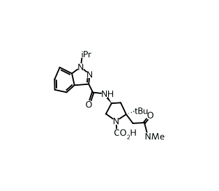 CNC(=O)C[C@]1(C(C)(C)C)C[C@H](NC(=O)c2nn(C(C)C)c3ccccc23)CN1C(=O)O